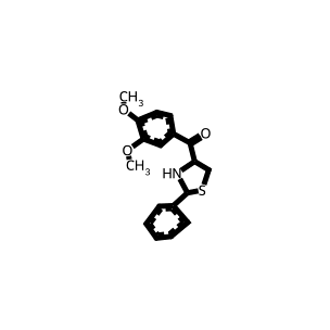 COc1ccc(C(=O)C2CSC(c3ccccc3)N2)cc1OC